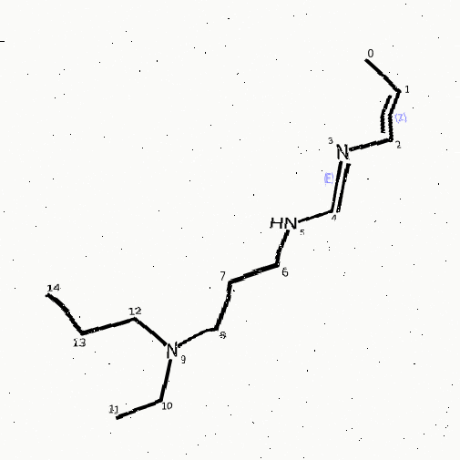 C/C=C\N=C\NCCCN(CC)CCC